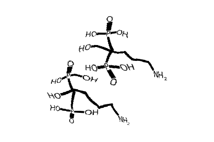 NCCCC(O)(P(=O)(O)O)P(=O)(O)O.NCCCC(O)(P(=O)(O)O)P(=O)(O)O